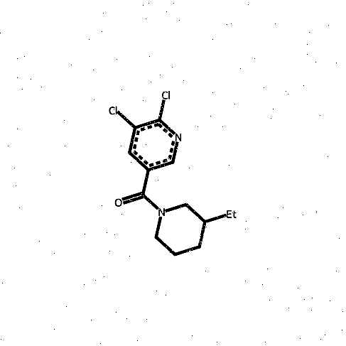 CCC1CCCN(C(=O)c2cnc(Cl)c(Cl)c2)C1